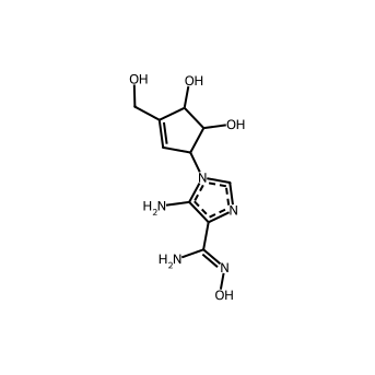 NC(=NO)c1ncn(C2C=C(CO)C(O)C2O)c1N